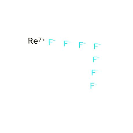 [F-].[F-].[F-].[F-].[F-].[F-].[F-].[Re+7]